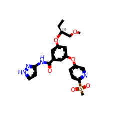 CC[C@@H](COC)Oc1cc(Oc2ccc(S(C)(=O)=O)nc2)cc(C(=O)Nc2cc[nH]n2)c1